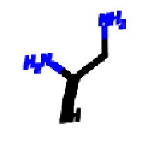 B=C(N)CN